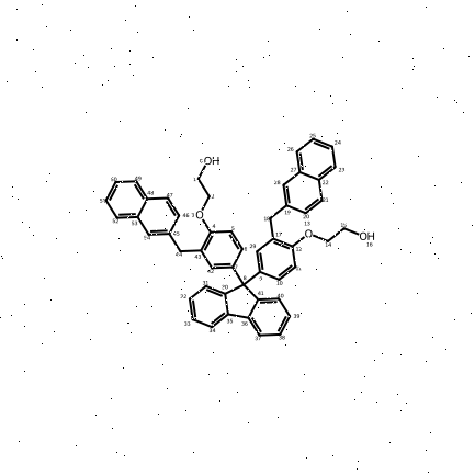 OCCOc1ccc(C2(c3ccc(OCCO)c(Cc4ccc5ccccc5c4)c3)c3ccccc3-c3ccccc32)cc1Cc1ccc2ccccc2c1